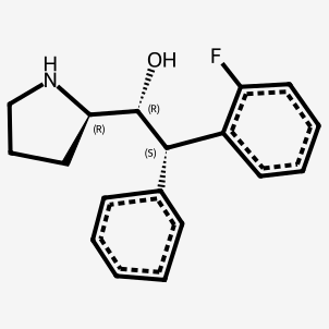 O[C@H]([C@@H](c1ccccc1)c1ccccc1F)[C@H]1CCCN1